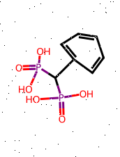 O=P(O)(O)C(c1ccccc1)P(=O)(O)O